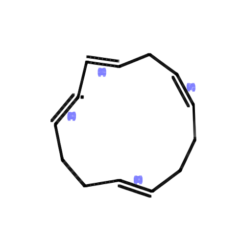 [C]1=C/CC/C=C/CC/C=C\C/C=C/1